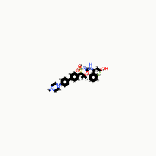 CN1CCN(c2ccc(-c3ccc(C4C(C)(C)OC(N[C@@H](CCO)c5ccccc5F)=NS4(=O)=O)cc3)cc2)CC1